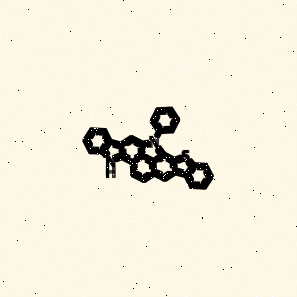 c1ccc(-n2c3cc4c5ccccc5[nH]c4c4ccc5cc6c7ccccc7sc6c2c5c43)cc1